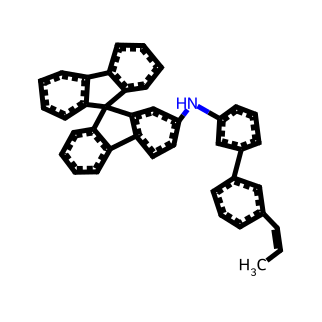 C/C=C\c1cccc(-c2cccc(Nc3ccc4c(c3)C3(c5ccccc5-c5ccccc53)c3ccccc3-4)c2)c1